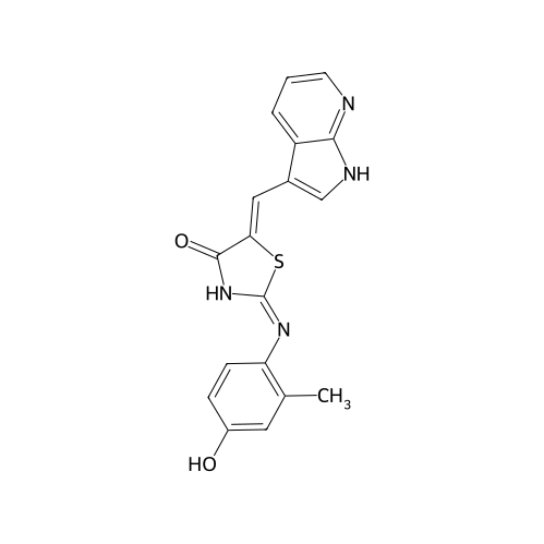 Cc1cc(O)ccc1N=C1NC(=O)C(=Cc2c[nH]c3ncccc23)S1